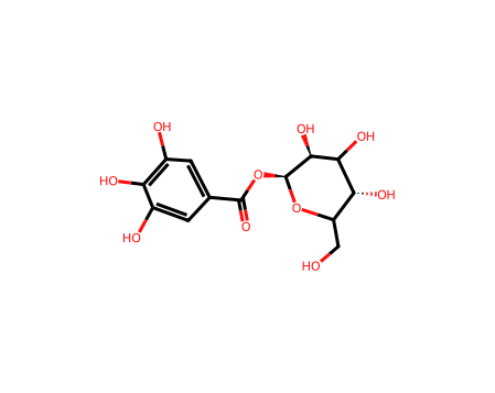 O=C(O[C@@H]1OC(CO)[C@@H](O)C(O)[C@@H]1O)c1cc(O)c(O)c(O)c1